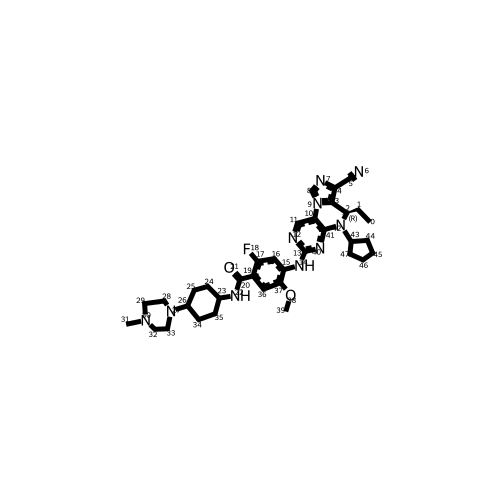 CC[C@@H]1c2c(C#N)ncn2-c2cnc(Nc3cc(F)c(C(=O)NC4CCC(N5CCN(C)CC5)CC4)cc3OC)nc2N1C1CCCC1